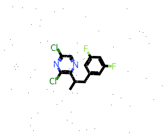 CC(Cc1cc(F)cc(F)c1)c1ncc(Cl)nc1Cl